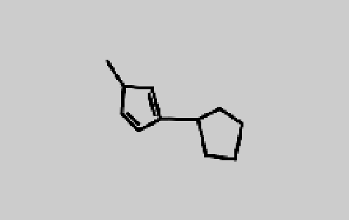 C[C]1C=CC(C2CCCC2)=C1